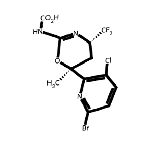 C[C@@]1(c2nc(Br)ccc2Cl)C[C@@H](C(F)(F)F)N=C(NC(=O)O)O1